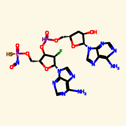 Nc1ncnc2c1ncn2[C@@H]1O[C@H](CO[P@@](=O)(S)N=O)[C@@H](O[PH](=O)OC[C@@H]2C[C@@H](O)[C@H](n3cnc4c(N)ncnc43)O2)[C@H]1F